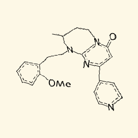 COc1ccccc1CCN1c2nc(-c3ccncc3)cc(=O)n2CCC1C